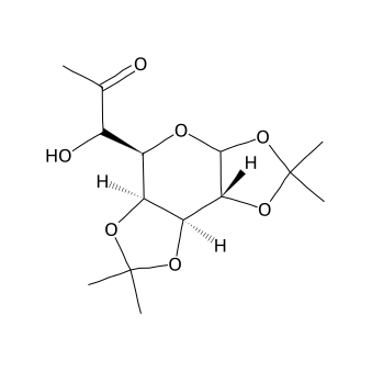 CC(=O)C(O)[C@H]1OC2OC(C)(C)O[C@@H]2[C@H]2OC(C)(C)O[C@H]21